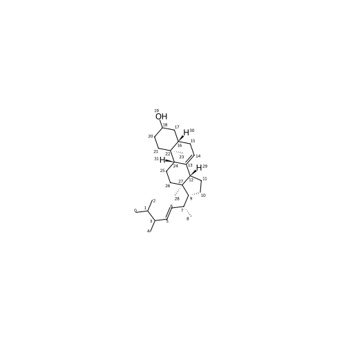 CC(C)C(C)/C=C/[C@@H](C)[C@H]1CC[C@H]2C3=CC[C@H]4CC(O)CC[C@]4(C)[C@H]3CC[C@]12C